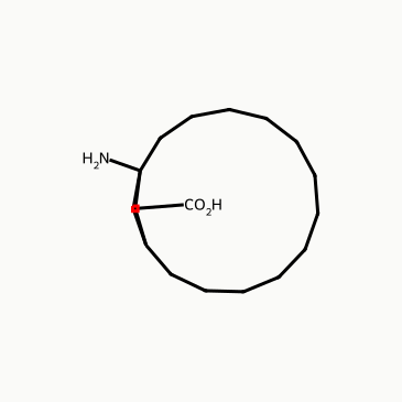 NC12CCCCCCCCCCCCC(C1)C2C(=O)O